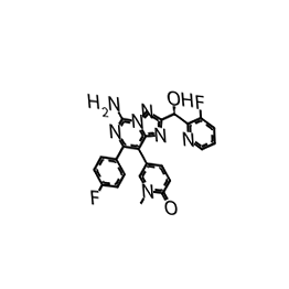 Cn1cc(-c2c(-c3ccc(F)cc3)nc(N)n3nc([C@@H](O)c4ncccc4F)nc23)ccc1=O